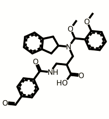 COc1ccccc1C(OC)N(CC(CNC(=O)c1ccc(C=O)cc1)C(=O)O)C1Cc2ccccc2C1